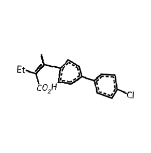 CCC(C(=O)O)=C(C)c1ccc(-c2ccc(Cl)cc2)cc1